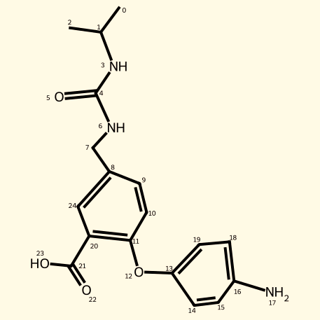 CC(C)NC(=O)NCc1ccc(Oc2ccc(N)cc2)c(C(=O)O)c1